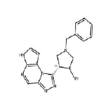 CC(C)C1CN(Cc2ccccc2)C[C@H]1c1nnc2cnc3[nH]ccc3n12